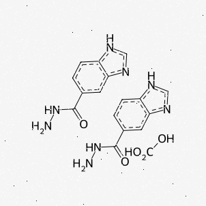 NNC(=O)c1ccc2[nH]cnc2c1.NNC(=O)c1ccc2[nH]cnc2c1.O=C(O)O